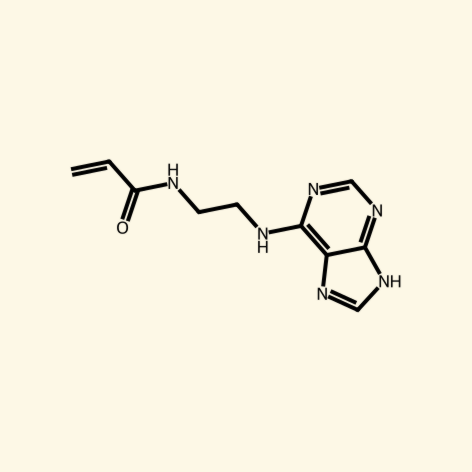 C=CC(=O)NCCNc1ncnc2[nH]cnc12